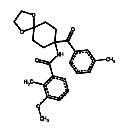 COc1cccc(C(=O)NC2(C(=O)c3cccc(C)c3)CCC3(CC2)OCCO3)c1C